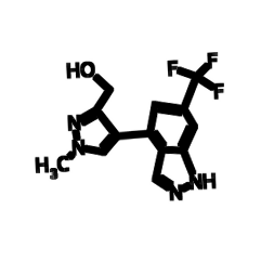 Cn1cc(-c2cc(C(F)(F)F)cc3[nH]ncc23)c(CO)n1